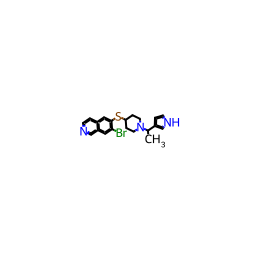 CC(c1cc[nH]c1)N1CCC(Sc2cc3ccncc3cc2Br)CC1